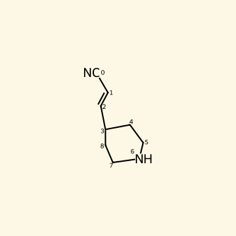 N#CC=CC1CCNCC1